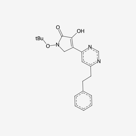 CC(C)(C)ON1CC(c2cc(CCc3ccccc3)ncn2)=C(O)C1=O